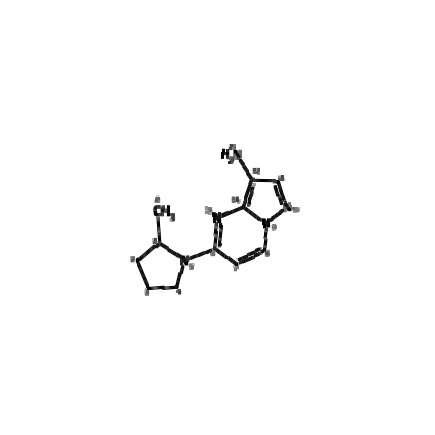 CC1CCCN1c1ccn2ncc(N)c2n1